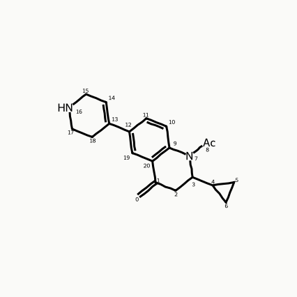 C=C1CC(C2CC2)N(C(C)=O)c2ccc(C3=CCNCC3)cc21